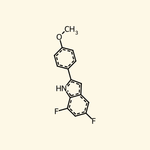 COc1ccc(-c2cc3cc(F)cc(F)c3[nH]2)cc1